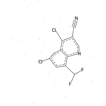 N#Cc1cnc2c(C(F)F)cc(Cl)cc2c1Cl